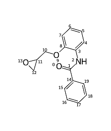 O=C(Nc1ccccc1OCC1CO1)c1ccccc1